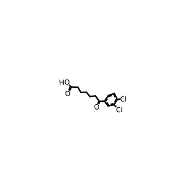 O=C(O)CCCCCC(=O)c1ccc(Cl)c(Cl)c1